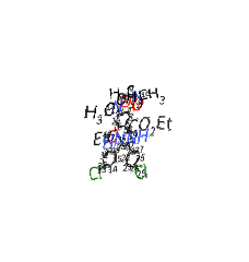 CCOC(=O)C1(c2cc(S(=O)(=O)N(C)C)c(N(C)C)cc2OCC)NC(c2ccc(Cl)cc2)C(c2ccc(Cl)cc2)N1